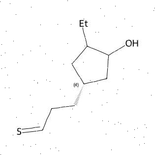 CCC1C[C@@H](CCC=S)CC1O